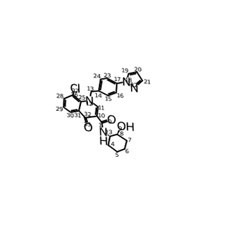 O=C(N[C@H]1CCCC[C@@H]1O)c1cn(Cc2ccc(-n3cccn3)cc2)c2c(Cl)cccc2c1=O